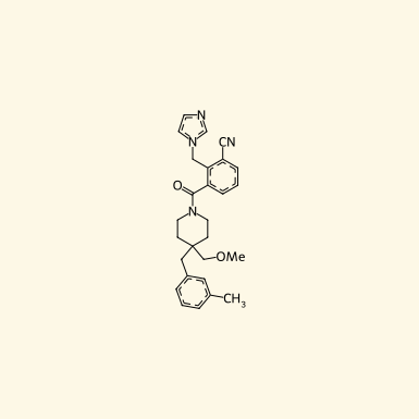 COCC1(Cc2cccc(C)c2)CCN(C(=O)c2cccc(C#N)c2Cn2ccnc2)CC1